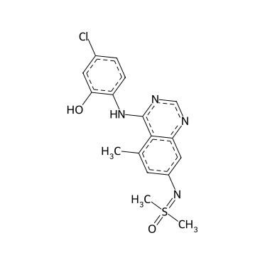 Cc1cc(N=S(C)(C)=O)cc2ncnc(Nc3ccc(Cl)cc3O)c12